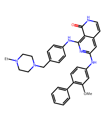 CCN1CCN(Cc2ccc(Nc3nc(Nc4ccc(-c5ccccc5)c(OC)c4)cc4cc[nH]c(=O)c34)cc2)CC1